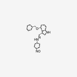 O=Nc1ccc(N/N=C/c2c[nH]c3cccc(OCc4ccccc4)c23)cc1